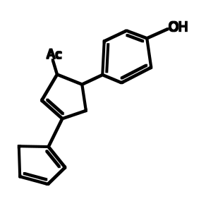 CC(=O)C1C=C(C2=CC=CC2)CC1c1ccc(O)cc1